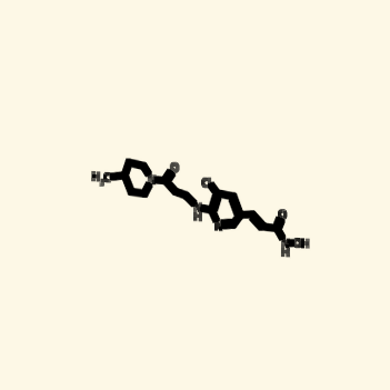 CC1CCN(C(=O)CCNc2ncc(/C=C/C(=O)NO)cc2Cl)CC1